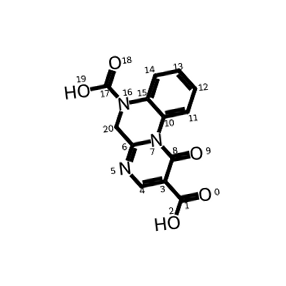 O=C(O)c1cnc2n(c1=O)-c1ccccc1N(C(=O)O)C2